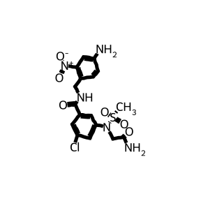 CS(=O)(=O)N(CC(N)=O)c1cc(Cl)cc(C(=O)NCc2ccc(N)cc2[N+](=O)[O-])c1